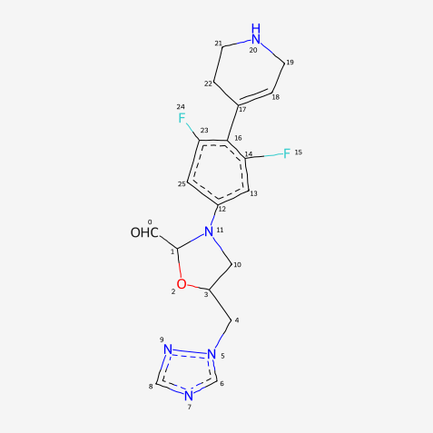 O=CC1OC(Cn2cncn2)CN1c1cc(F)c(C2=CCNCC2)c(F)c1